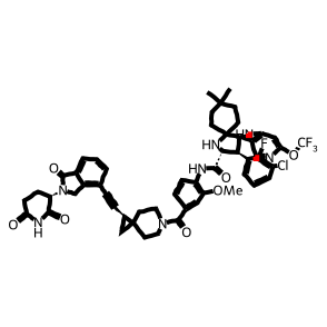 COc1cc(C(=O)N2CCC3(CC2)C[C@H]3C#Cc2cccc3c2CN([C@H]2CCC(=O)NC2=O)C3=O)ccc1NC(=O)[C@@H]1NC2(CCC(C)(C)CC2)[C@@]2(CNc3cc(OC(F)(F)F)ncc32)[C@H]1c1cccc(Cl)c1F